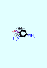 COP(=O)(OC)c1ccc(N)cc1N